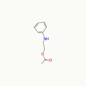 CC(=O)OCCNc1ccccc1